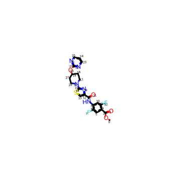 COC(=O)c1cc(F)c(NC(=O)c2csc(N3CCC(Oc4ncccn4)CC3)n2)cc1F